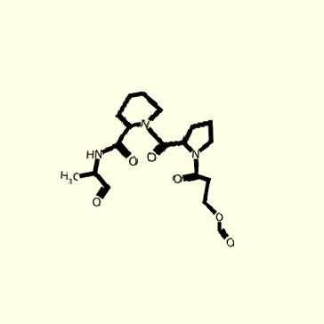 CC(C=O)NC(=O)C1CCCCN1C(=O)C1CCCN1C(=O)CCOC=O